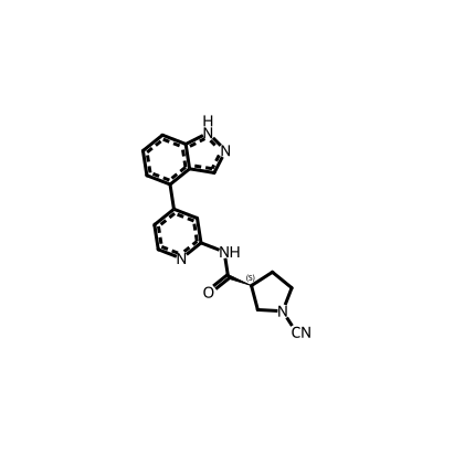 N#CN1CC[C@H](C(=O)Nc2cc(-c3cccc4[nH]ncc34)ccn2)C1